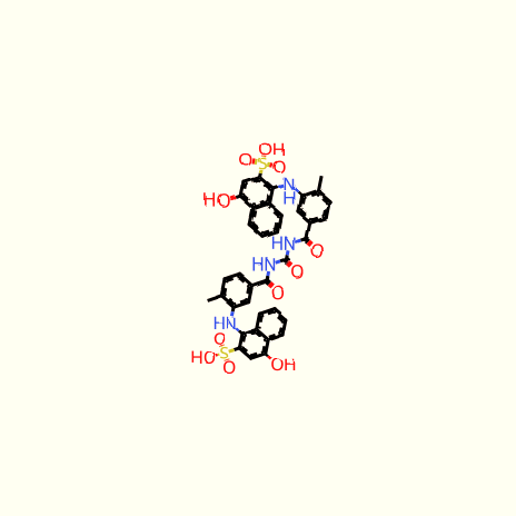 Cc1ccc(C(=O)NC(=O)NC(=O)c2ccc(C)c(Nc3c(S(=O)(=O)O)cc(O)c4ccccc34)c2)cc1Nc1c(S(=O)(=O)O)cc(O)c2ccccc12